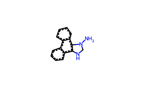 NN1CNc2c1c1ccccc1c1ccccc21